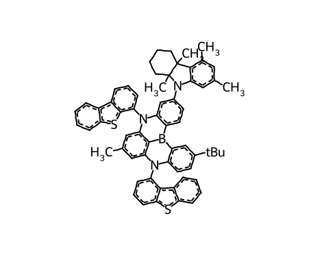 Cc1cc2c3c(c1)N(c1cccc4sc5ccccc5c14)c1ccc(C(C)(C)C)cc1B3c1ccc(N3c4cc(C)cc(C)c4C4(C)CCCCC34C)cc1N2c1cccc2c1sc1ccccc12